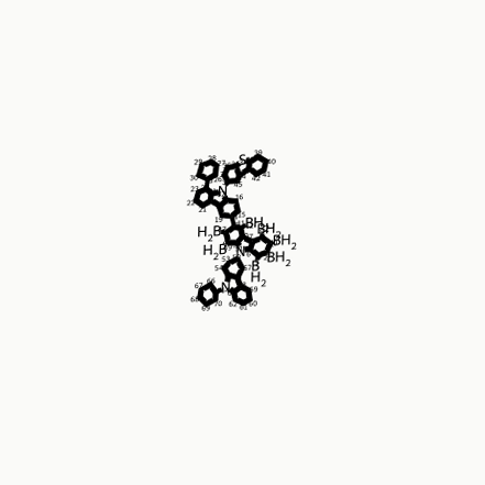 Bc1c(B)c(B)c2c(c1B)c1c(B)c(-c3ccc4c(c3)c3cccc(-c5ccccc5)c3n4-c3ccc4sc5ccccc5c4c3)c(B)c(B)c1n2-c1ccc2c(c1)c1ccccc1n2-c1ccccc1